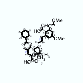 COCOC1C=C(OC)C=C(/C=C/C[C@@H]2OC(C)(C)O[C@@H]2C(OC(=O)c2ccccc2)/C(F)=C\[C@H](C)[C@H](C)O)[C@@H]1C(O)O